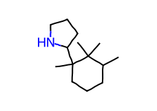 CC1CCCC(C)(C2CCCN2)C1(C)C